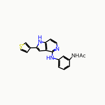 CC(=O)Nc1cccc(Nc2nccc3[nH]c(-c4ccsc4)cc23)c1